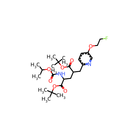 CC(C)OC(=O)NC(CC(Cc1ccc(OCCF)cn1)C(=O)OC(C)(C)C)C(=O)OC(C)(C)C